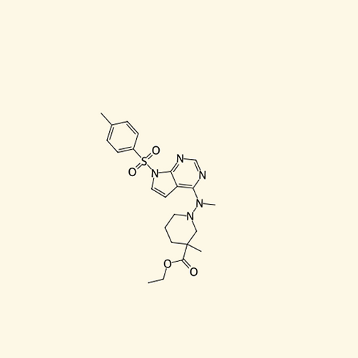 CCOC(=O)C1(C)CCCN(N(C)c2ncnc3c2ccn3S(=O)(=O)c2ccc(C)cc2)C1